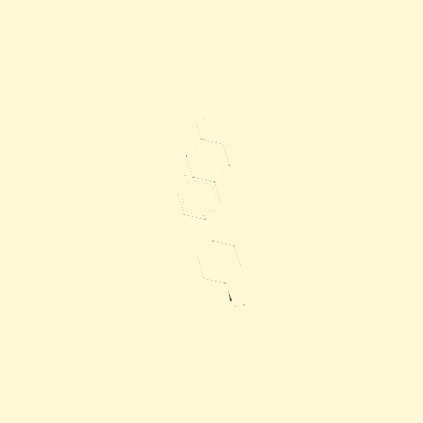 CCCCCCCCC1CCc2cc([C@H]3CC[C@H](CCCCCC)CC3)ccc2C1